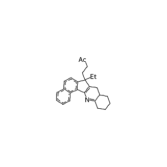 CCC1(CCC(C)=O)C2=C(N=C3CCCCC3C2)c2c1ccc1ccccc21